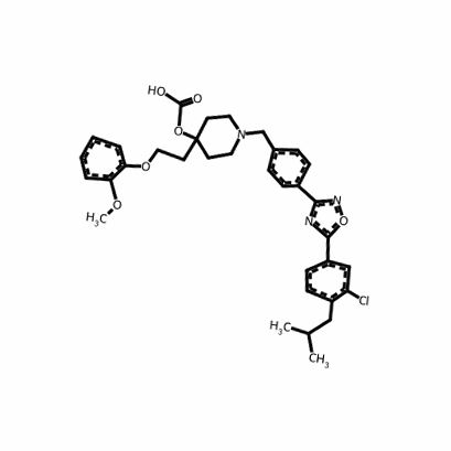 COc1ccccc1OCCC1(OC(=O)O)CCN(Cc2ccc(-c3noc(-c4ccc(CC(C)C)c(Cl)c4)n3)cc2)CC1